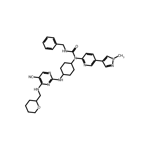 Cn1cc(-c2ccc(N(C(=O)NCc3ccccc3)C3CCC(Nc4ncc(C#N)c(NCC5CCCCO5)n4)CC3)nc2)cn1